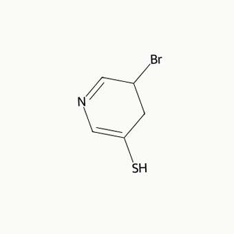 SC1=CN=CC(Br)C1